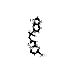 CC(C)(C)c1ccn2nc(CC(C)(C)c3ccc4nc[nH]c4n3)cc2n1